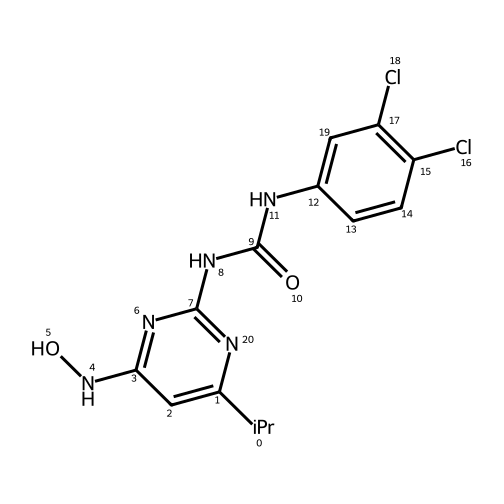 CC(C)c1cc(NO)nc(NC(=O)Nc2ccc(Cl)c(Cl)c2)n1